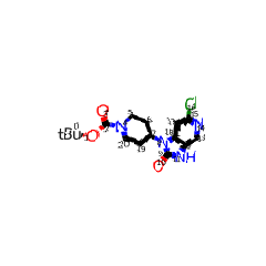 CC(C)(C)OC(=O)N1CCC(n2c(=O)[nH]c3cnc(Cl)cc32)CC1